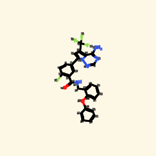 Nc1ncnn2c(-c3ccc(F)c(C(=O)NCc4ccccc4Oc4ccccc4)c3)cc(C(F)(F)F)c12